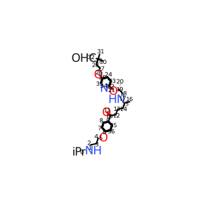 CC(C)NCCCOc1ccc(C(=O)CCCC(C)NC[C@@H](C)Oc2ccc(OCCC(C)(C)C=O)cn2)cc1